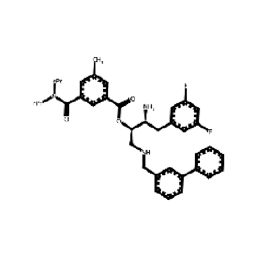 CCCN(CCC)C(=O)c1cc(C)cc(C(=O)O[C@H](CNCc2cccc(-c3ccccc3)c2)[C@@H](N)Cc2cc(F)cc(F)c2)c1